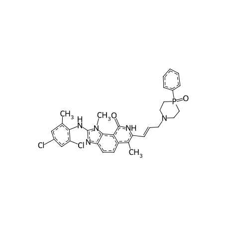 Cc1cc(Cl)cc(Cl)c1Nc1nc2ccc3c(C)c(C=CCN4CCP(=O)(c5ccccc5)CC4)[nH]c(=O)c3c2n1C